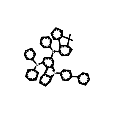 CC1(C)c2ccccc2-c2c(N(c3ccccc3)c3cc(N(c4ccccc4)c4ccccc4)c4c5ccccc5n(-c5ccc(-c6ccccc6)cc5)c4c3)cccc21